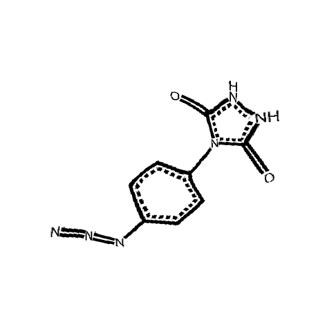 [N-]=[N+]=Nc1ccc(-n2c(=O)[nH][nH]c2=O)cc1